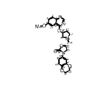 COc1ccc2ncnc(OC3CCN(C[C@@H]4CN(c5ccc6c(c5)OCCO6)C(=O)O4)C3)c2c1